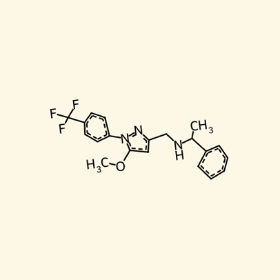 COc1cc(CNC(C)c2ccccc2)nn1-c1ccc(C(F)(F)F)cc1